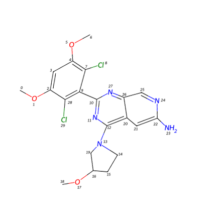 COc1cc(OC)c(Cl)c(-c2nc(N3CCC(OC)C3)c3cc(N)ncc3n2)c1Cl